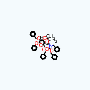 CC1(C)O[C@@H]2[C@@H](OCc3ccccc3)[C@H](Oc3ccccc3)O[C@H](COCc3ccccc3)[C@]2(CCN(Cc2ccccc2)C(=O)OCc2ccccc2)O1